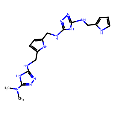 CN(C)c1nnc(NCc2ccc(CNc3nnc(NCc4ccc[nH]4)[nH]3)[nH]2)[nH]1